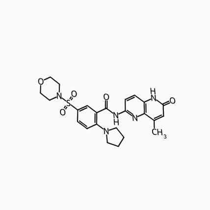 Cc1cc(=O)[nH]c2ccc(NC(=O)c3cc(S(=O)(=O)N4CCOCC4)ccc3N3CCCC3)nc12